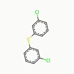 Clc1cccc(Sc2cccc(Cl)c2)c1